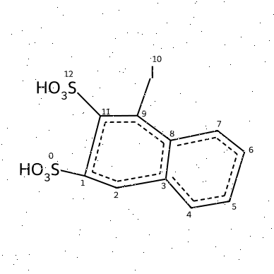 O=S(=O)(O)c1cc2ccccc2c(I)c1S(=O)(=O)O